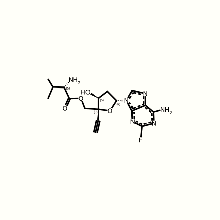 C#C[C@]1(COC(=O)[C@@H](N)C(C)C)O[C@@H](n2cnc3c(N)nc(F)nc32)C[C@@H]1O